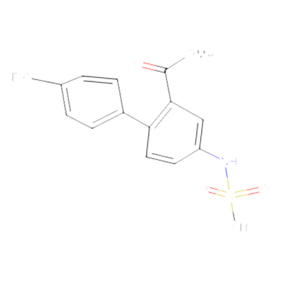 COC(=O)c1cc(NS(C)(=O)=O)ccc1-c1ccc(C(F)(F)F)cc1